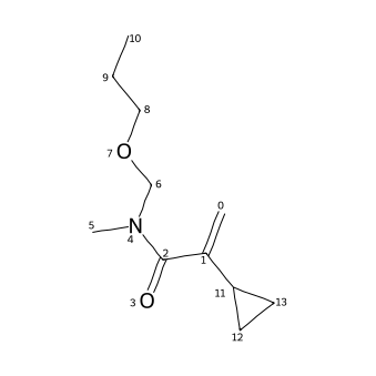 C=C(C(=O)N(C)COCCC)C1CC1